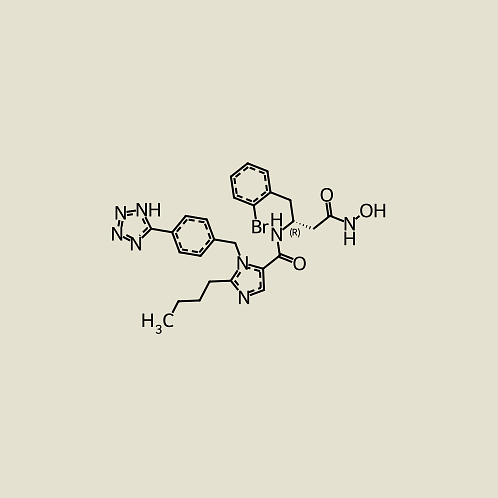 CCCCc1ncc(C(=O)N[C@@H](CC(=O)NO)Cc2ccccc2Br)n1Cc1ccc(-c2nnn[nH]2)cc1